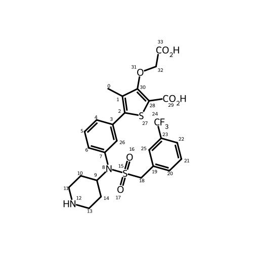 Cc1c(-c2cccc(N(C3CCNCC3)S(=O)(=O)Cc3cccc(C(F)(F)F)c3)c2)sc(C(=O)O)c1OCC(=O)O